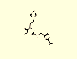 CCC(=O)C(CCn1cnnc1)NC(=O)N(C)Cc1csc(C(C)C)n1